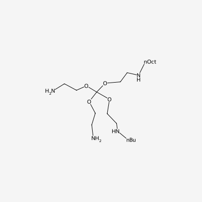 CCCCCCCCNCCOC(OCCN)(OCCN)OCCNCCCC